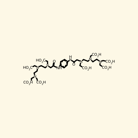 O=C(O)CN(CCN(CC(=O)O)CC(=O)O)CCN(CC(=O)O)CC(=O)Nc1ccc(NC(=O)CN(CCN(CCN(CC(=O)O)CC(=O)O)CC(=O)O)CC(=O)O)cc1